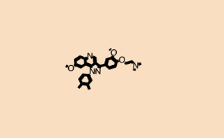 COc1ccc2ncc3c(-c4ccc(OCCN(C)C)c(OC)c4)nn(-c4ccc(C)c(C)c4)c3c2c1